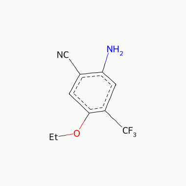 CCOc1cc(C#N)c(N)cc1C(F)(F)F